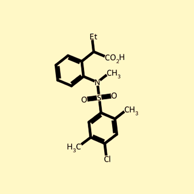 CCC(C(=O)O)c1ccccc1N(C)S(=O)(=O)c1cc(C)c(Cl)cc1C